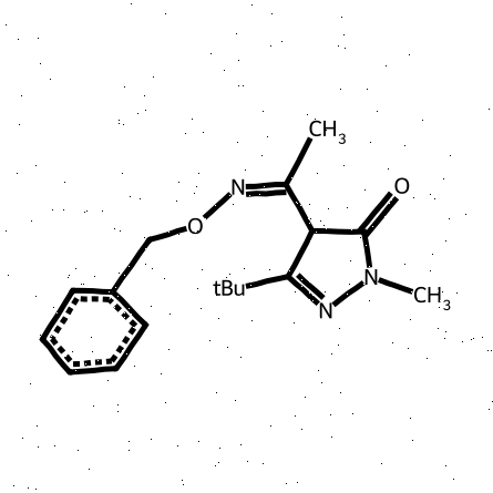 CC(=NOCc1ccccc1)C1C(=O)N(C)N=C1C(C)(C)C